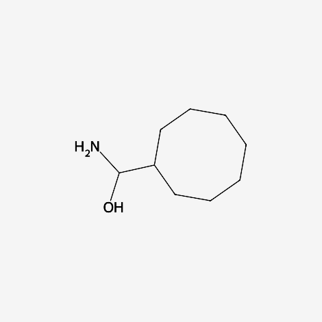 NC(O)C1CCCCCCC1